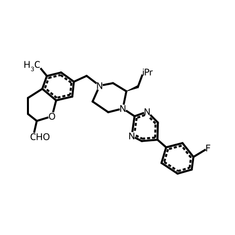 Cc1cc(CN2CCN(c3ncc(-c4cccc(F)c4)cn3)[C@H](CC(C)C)C2)cc2c1CCC(C=O)O2